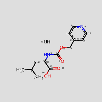 CC(C)C[C@H](NC(=O)OCc1ccncc1)C(=O)O.[LiH]